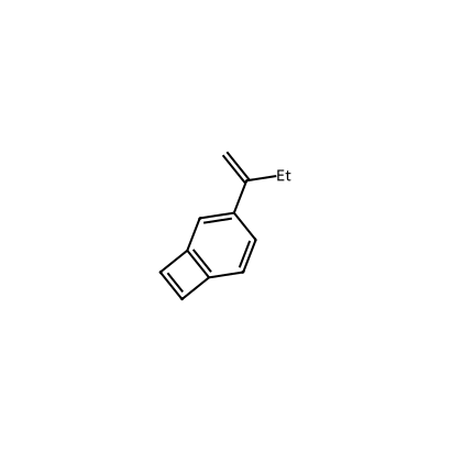 C=C(CC)c1ccc2c(c1)C=C2